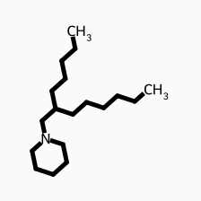 CCCCCCC(CCCCC)CN1CCCCC1